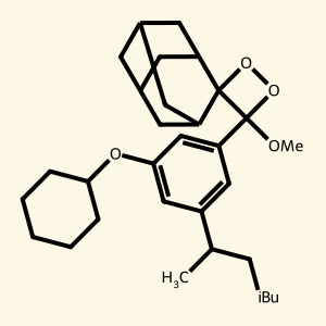 CCC(C)CC(C)c1cc(OC2CCCCC2)cc(C2(OC)OOC23C2CC4CC(C2)CC3C4)c1